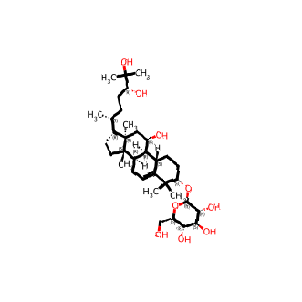 C[C@H](CC[C@@H](O)C(C)(C)O)[C@H]1CC[C@@]2(C)[C@@H]3CC=C4[C@@H](CC[C@H](O[C@@H]5O[C@H](CO)[C@@H](O)[C@H](O)[C@H]5O)C4(C)C)[C@@H]3[C@H](O)C[C@]12C